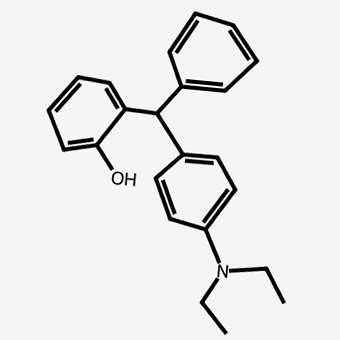 CCN(CC)c1ccc(C(c2ccccc2)c2ccccc2O)cc1